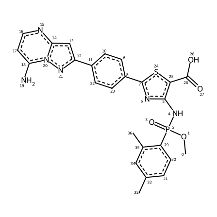 COP(=O)(Nc1nc(-c2ccc(-c3cc4nccc(N)n4n3)cc2)sc1C(=O)O)c1ccc(C)cc1C